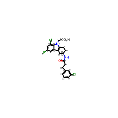 O=C(O)Cn1c2c(c3cc(F)cc(Cl)c31)C[C@H](NC(=O)CCc1cccc(Cl)c1)CC2